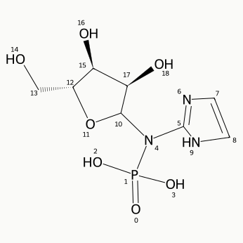 O=P(O)(O)N(c1ncc[nH]1)C1O[C@H](CO)[C@@H](O)[C@H]1O